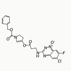 O=C(CCNc1nc2cc(Cl)c(F)cc2[n+]([O-])n1)OC1=CN(C(=O)OCc2ccccc2)CC1